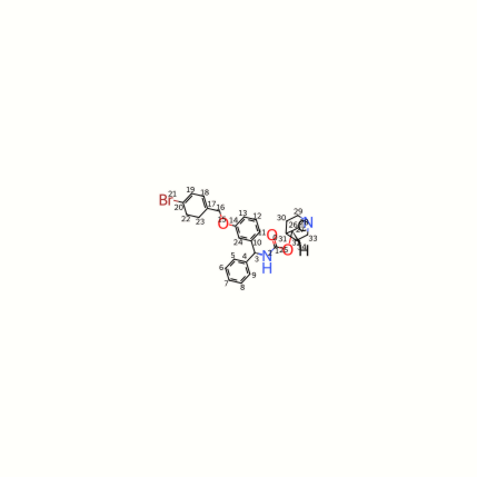 O=C(N[C@@H](c1ccccc1)c1cccc(OCC2=CC=C(Br)CC2)c1)O[C@H]1CN2CCC1CC2